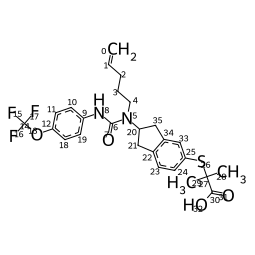 C=CCCCN(C(=O)Nc1ccc(OC(F)(F)F)cc1)C1Cc2ccc(SC(C)(C)C(=O)O)cc2C1